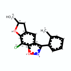 Cc1ccccc1-c1noc2c(Cl)c3c(cc12)CC(C(=O)O)O3